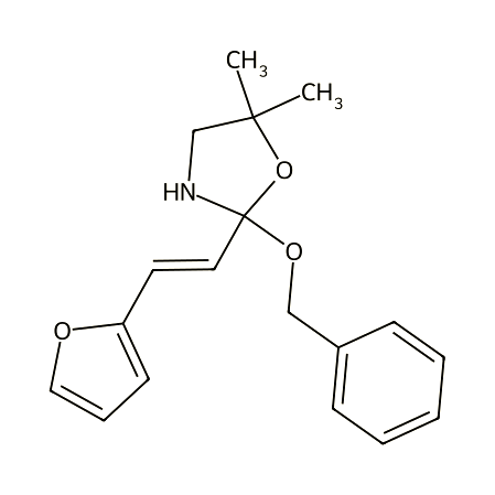 CC1(C)CNC(C=Cc2ccco2)(OCc2ccccc2)O1